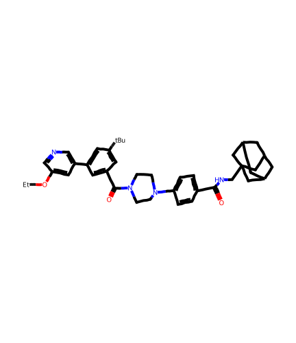 CCOc1cncc(-c2cc(C(=O)N3CCN(c4ccc(C(=O)NCC56CC7CC(CC(C7)C5)C6)cc4)CC3)cc(C(C)(C)C)c2)c1